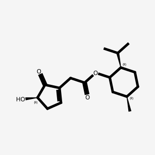 CC(C)[C@H]1CC[C@@H](C)CC1OC(=O)CC1=CC[C@@H](O)C1=O